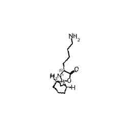 NCCCC[C@@H]1[NH2+][B-]2(OC1=O)[C@H]1CCC[C@@H]2CCC1